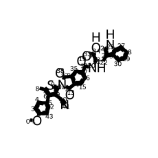 COc1ccc(-c2c(C)sc(N3C(=O)c4ccc(C(=O)N[C@@H](Cc5c[nH]c6ccccc56)C(=O)O)cc4C3=O)c2C#N)cc1